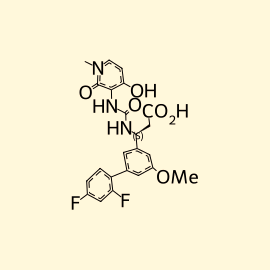 COc1cc(-c2ccc(F)cc2F)cc([C@H](CC(=O)O)NC(=O)Nc2c(O)ccn(C)c2=O)c1